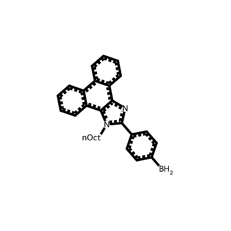 Bc1ccc(-c2nc3c4ccccc4c4ccccc4c3n2CCCCCCCC)cc1